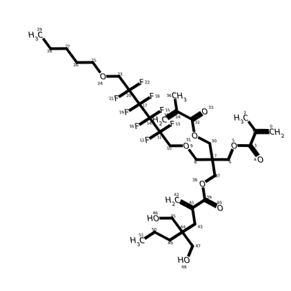 C=C(C)C(=O)OCC(COCC(F)(F)C(F)(F)C(F)(F)C(F)(F)COCCCCC)(COC(=O)C(=C)C)COC(=O)C(=C)CC(CO)(CO)CCC